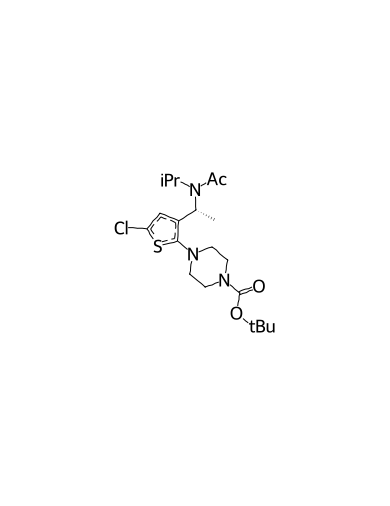 CC(=O)N(C(C)C)[C@H](C)c1cc(Cl)sc1N1CCN(C(=O)OC(C)(C)C)CC1